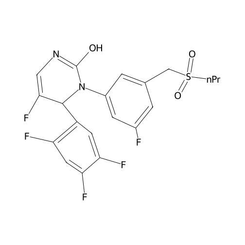 CCCS(=O)(=O)Cc1cc(F)cc(N2C(O)=NC=C(F)C2c2cc(F)c(F)cc2F)c1